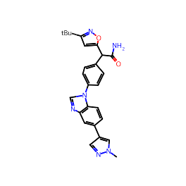 Cn1cc(-c2ccc3c(c2)ncn3-c2ccc(C(C(N)=O)c3cc(C(C)(C)C)no3)cc2)cn1